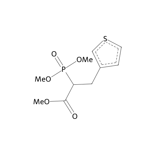 COC(=O)C(Cc1ccsc1)P(=O)(OC)OC